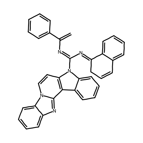 C=C(/N=C(\N=C1/CC=Cc2ccccc21)n1c2ccccc2c2c1ccn1c3ccccc3nc21)c1ccccc1